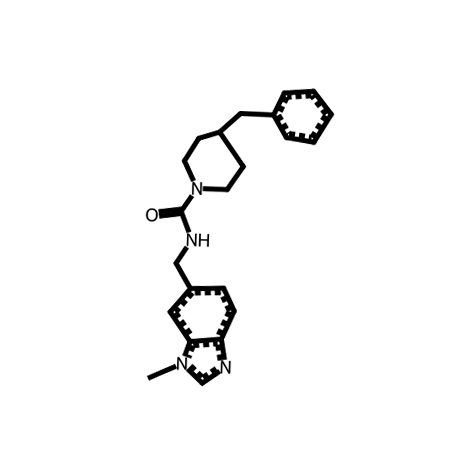 Cn1cnc2ccc(CNC(=O)N3CCC(Cc4ccccc4)CC3)cc21